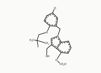 CC(C)(F)COc1ccc(Cl)cc1Cn1cc(CO)c2c(OC(=O)O)cccc21